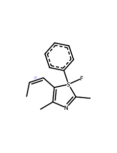 C/C=C\C1=C(C)N=C(C)S1(F)c1ccccc1